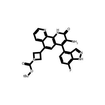 CC(C)(C)OC(=O)N1CC(c2cc3c(-c4ccc(F)c5[nH]ncc45)c(N)c(=O)[nH]c3c3ncccc23)C1